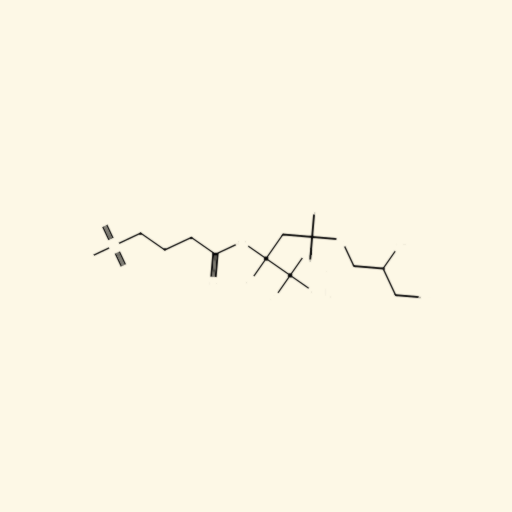 CC(C)(CC(C)(OC(=O)CCCS(=O)(=O)O)C(C)(C)C)SCC(O)CO